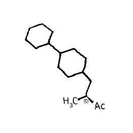 CC(=O)[C@@H](C)CC1CCC(C2CCCCC2)CC1